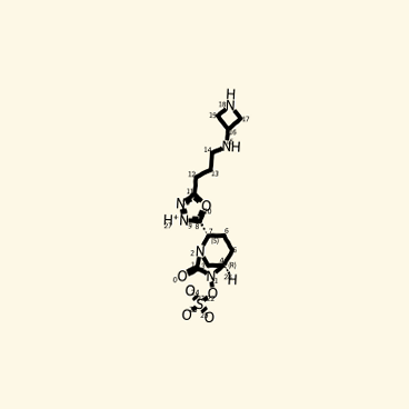 O=C1N2C[C@@H](CC[C@H]2c2nnc(CCCNC3CNC3)o2)N1OS(=O)(=O)[O-].[H+]